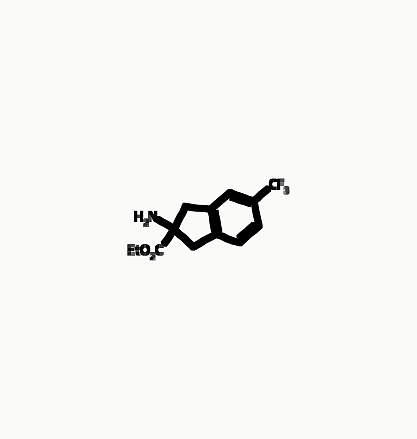 CCOC(=O)C1(N)Cc2ccc(C(F)(F)F)cc2C1